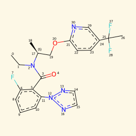 CCN(C(=O)c1c(F)cccc1-n1nccn1)[C@@H](C)COc1ccc(C(C)(F)F)cn1